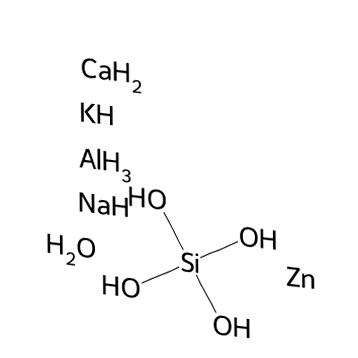 O.O[Si](O)(O)O.[AlH3].[CaH2].[KH].[NaH].[Zn]